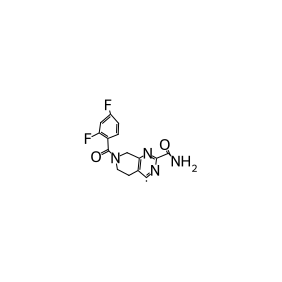 NC(=O)c1n[c]c2c(n1)CN(C(=O)c1ccc(F)cc1F)CC2